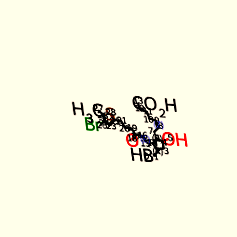 B=C[C@@H]1CC(O)[C@H](C/C=C\CCCC(=O)O)[C@H]1/C=C/C(=O)CCCc1cc(Br)c(C)s1